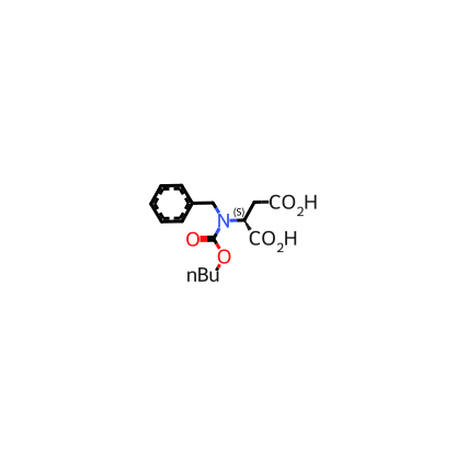 CCCCOC(=O)N(Cc1ccccc1)[C@@H](CC(=O)O)C(=O)O